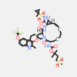 Cc1nc2ccc(OC(F)(F)F)cc2c2c1O[C@]1(CC2)C[C@H]2C(=O)N[C@]3(C(=O)NS(=O)(=O)C4(C)CC4)C[C@H]3/C=C\CCCCC[C@H](NC(=O)OC(C)(C)CCS(C)(=O)=O)C(=O)N2C1